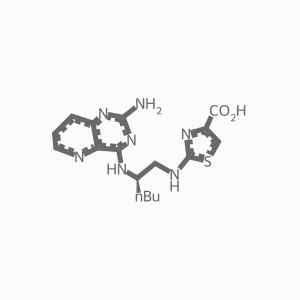 CCCC[C@H](CNc1nc(C(=O)O)cs1)Nc1nc(N)nc2cccnc12